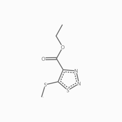 [CH2]Sc1snnc1C(=O)OCC